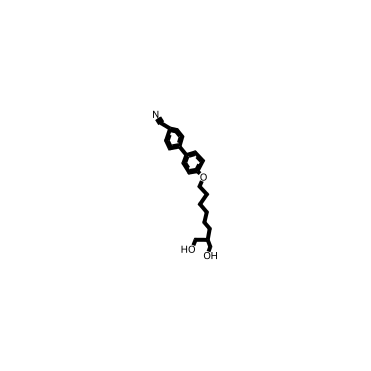 N#Cc1ccc(-c2ccc(OCCCCCCC(CO)CO)cc2)cc1